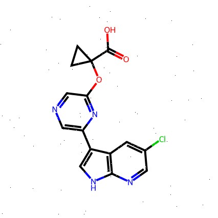 O=C(O)C1(Oc2cncc(-c3c[nH]c4ncc(Cl)cc34)n2)CC1